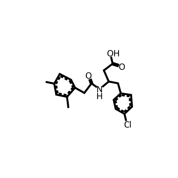 Cc1ccc(CC(=O)NC(CC(=O)O)Cc2ccc(Cl)cc2)c(C)c1